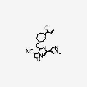 C=CC(=O)N1CCC[C@@H](Oc2nc(-c3cnn(C)c3)cn3ncc(C#N)c23)CC1